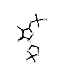 CC1C(=O)[C@@H](C2COC(C)(C)O2)OC1OC(C)(C)O